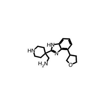 NCC1(c2nc3c(C4CCOC4)cccc3[nH]2)CCNCC1